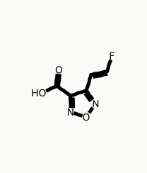 O=C(O)c1nonc1/C=C/F